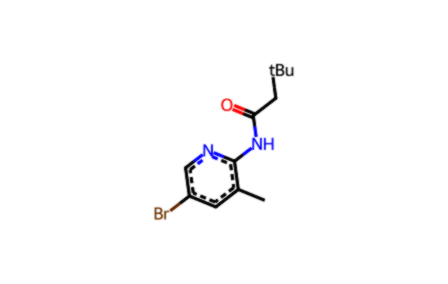 Cc1cc(Br)cnc1NC(=O)CC(C)(C)C